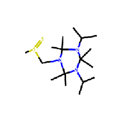 CC(C)N1C(C)(C)N(CS(C)=S)C(C)(C)N(C(C)C)C1(C)C